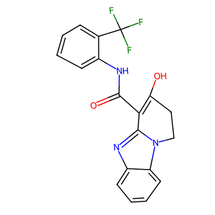 O=C(Nc1ccccc1C(F)(F)F)C1=C(O)CCn2c1nc1ccccc12